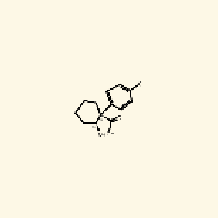 O=C(O)[C@]1(c2ccc(Cl)cc2)CCCC[C@@H]1O